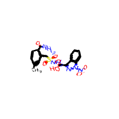 Cc1ccc(C(N)=O)c(CS(N)(=O)=O)c1.O=C(O)c1nn([N+](=O)[O-])c2ccccc12